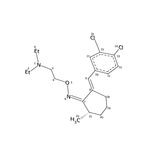 CCN(CC)CCON=C1C(=Cc2ccc(Cl)c(Cl)c2)CCC[C@@H]1C